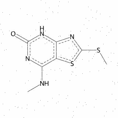 CNc1nc(=O)[nH]c2nc(SC)sc12